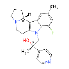 Cc1cc(F)c2c(c1)c1c(n2C[C@@](C)(O)c2ccncc2)CCN2CCC[C@H]12